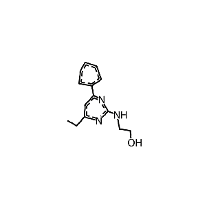 CCc1cc(-c2ccccc2)nc(NCCO)n1